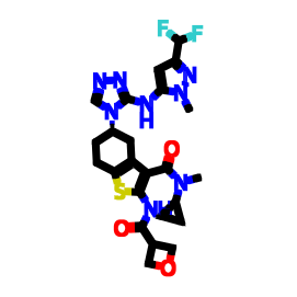 CN(C(=O)c1c(NC(=O)C2COC2)sc2c1C[C@@H](n1cnnc1Nc1cc(C(F)F)nn1C)CC2)C1CC1